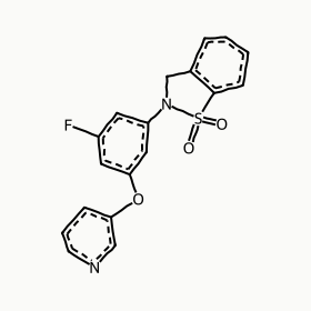 O=S1(=O)c2ccccc2CN1c1cc(F)cc(Oc2cccnc2)c1